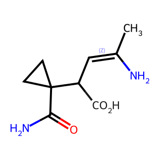 C/C(N)=C/C(C(=O)O)C1(C(N)=O)CC1